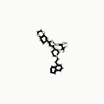 O=C(O)C(F)(F)F.c1ccc2c(CCN3CCC(c4cc(-c5ccc6c(c5)OCCO6)on4)CC3)cccc2c1